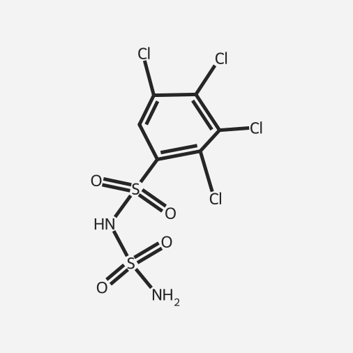 NS(=O)(=O)NS(=O)(=O)c1cc(Cl)c(Cl)c(Cl)c1Cl